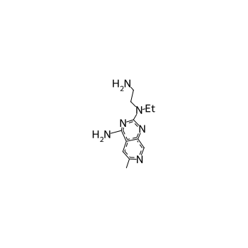 CCN(CCN)c1nc(N)c2cc(C)ncc2n1